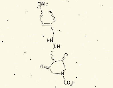 COc1ccc(CNNC=C2C(=O)CN(C(=O)O)CC2=O)cc1